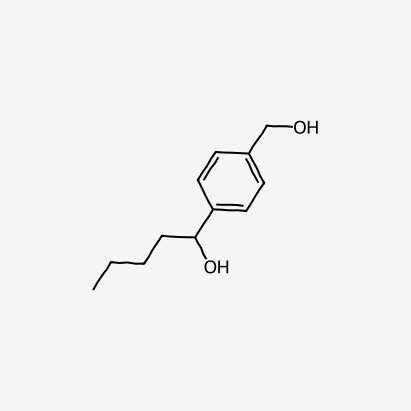 CCCCC(O)c1ccc(CO)cc1